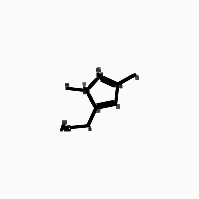 CC(=O)Cc1cc(C)nn1C